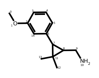 COc1cccc(C2C(CN)C2(C)C)c1